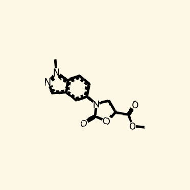 COC(=O)C1CN(c2ccc3c(cnn3C)c2)C(=O)O1